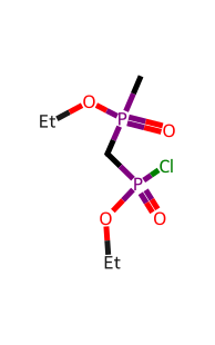 CCOP(C)(=O)CP(=O)(Cl)OCC